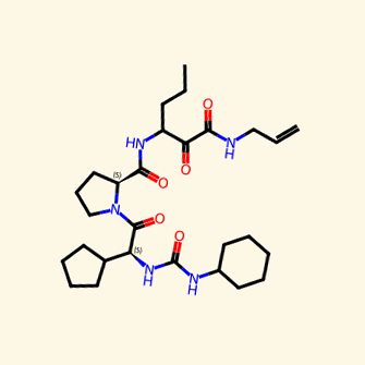 C=CCNC(=O)C(=O)C(CCC)NC(=O)[C@@H]1CCCN1C(=O)[C@@H](NC(=O)NC1CCCCC1)C1CCCC1